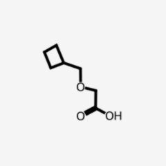 O=C(O)COCC1CCC1